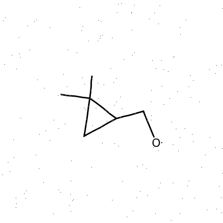 CC1(C)CC1C[O]